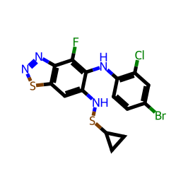 Fc1c(Nc2ccc(Br)cc2Cl)c(NSC2CC2)cc2snnc12